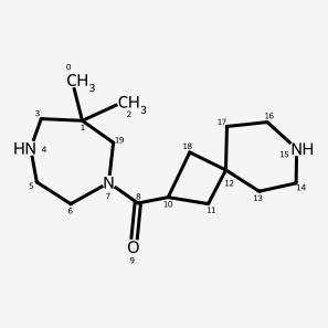 CC1(C)CNCCN(C(=O)C2CC3(CCNCC3)C2)C1